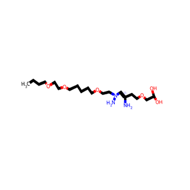 CCCCOCCOCCCCCOCCN(N)/C=C(\N)CCOCC(O)O